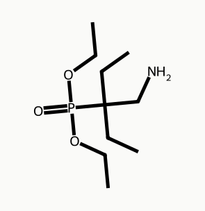 CCOP(=O)(OCC)C(CC)(CC)CN